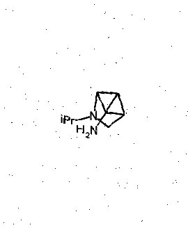 CC(C)N1CC2C3C1C23N